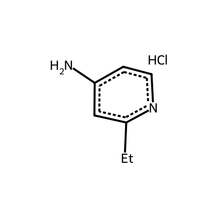 CCc1cc(N)ccn1.Cl